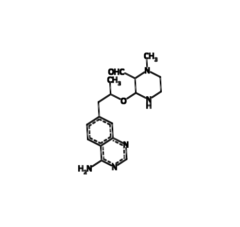 CC(Cc1ccc2c(N)ncnc2c1)OC1NCCN(C)C1C=O